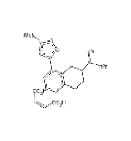 CCCN(CCC)C1CCc2cccc(-c3cc(SC)no3)c2C1.O=C(O)/C=C\C(=O)O